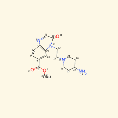 CCCCOC(=O)c1ccc2ncc(=O)n(CCN3CCC(N)CC3)c2c1